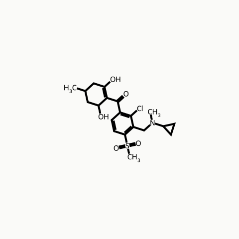 CC1CC(O)=C(C(=O)c2ccc(S(C)(=O)=O)c(CN(C)C3CC3)c2Cl)C(O)C1